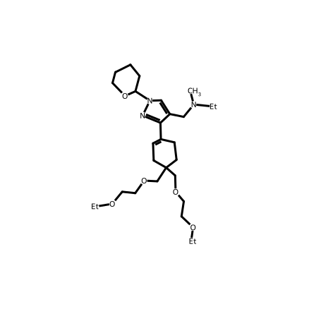 [CH2]CN(C)Cc1cn(C2CCCCO2)nc1C1=CCC(COCCOCC)(COCCOCC)CC1